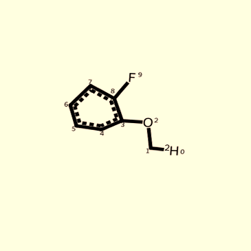 [2H]COc1ccc[c]c1F